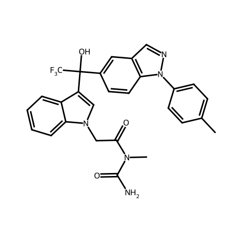 Cc1ccc(-n2ncc3cc(C(O)(c4cn(CC(=O)N(C)C(N)=O)c5ccccc45)C(F)(F)F)ccc32)cc1